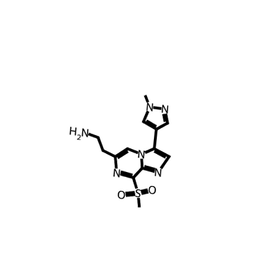 Cn1cc(-c2cnc3c(S(C)(=O)=O)nc(CCN)cn23)cn1